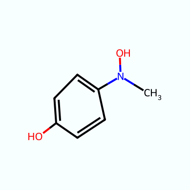 CN(O)c1ccc(O)cc1